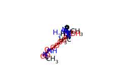 C/C=C\C(=O)N(C=O)CCC(=O)NCCOCCOCCOCCOCCC(=O)N(CC)Cc1nc2c(N)nc3ccccc3c2n1CC(C)(C)O